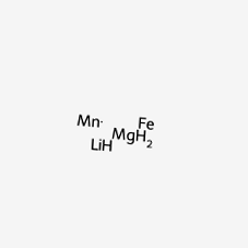 [Fe].[LiH].[MgH2].[Mn]